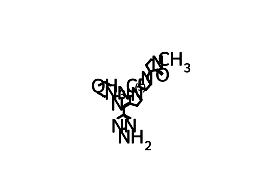 CN1CCC(N2CC[C@](C)(N3CCc4c(-c5cnc(N)nc5)nc(N5CCOCC5)nc43)C2)C1=O